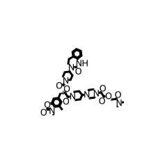 Cc1cc(C[C@@H](OC(=O)N2CCC(N3CCc4ccccc4NC3=O)CC2)C(=O)N2CCC(N3CCN(C(=O)C(=O)OCC(=O)N(C)C)CC3)CC2)cc2oc(=O)n(C)c12